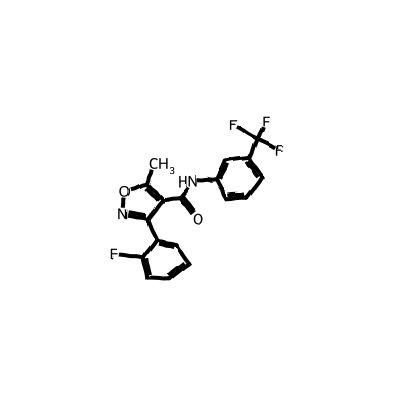 Cc1onc(-c2ccccc2F)c1C(=O)Nc1cccc(C(F)(F)F)c1